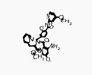 COC(=O)C(Cc1ccccn1)N(Cc1ccc(C(=O)Nc2cc(OC)ccn2)c(Cl)c1)C(=O)c1ncc(Cl)cc1N